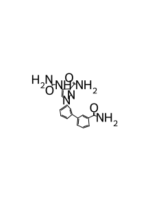 NC(=O)Nc1cn(-c2cccc(-c3cccc(C(N)=O)c3)c2)nc1C(N)=O